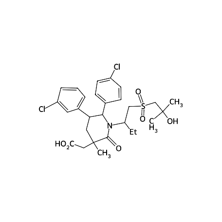 CCC(CS(=O)(=O)CC(C)(C)O)N1C(=O)C(C)(CC(=O)O)CC(c2cccc(Cl)c2)C1c1ccc(Cl)cc1